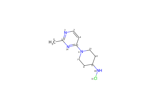 Cc1nccc(N2CCC(NCl)CC2)n1